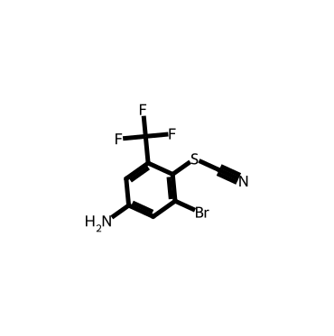 N#CSc1c(Br)cc(N)cc1C(F)(F)F